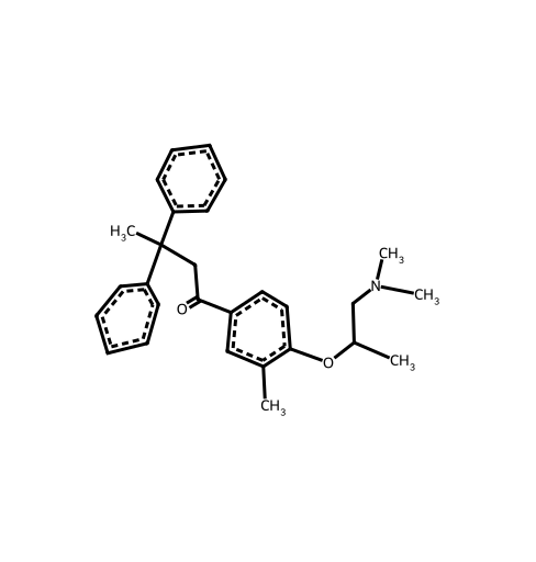 Cc1cc(C(=O)CC(C)(c2ccccc2)c2ccccc2)ccc1OC(C)CN(C)C